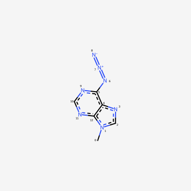 Cn1cnc2c(N=[N+]=[N-])ncnc21